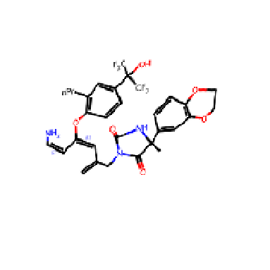 C=C(/C=C(\C=C/N)Oc1ccc(C(O)(C(F)(F)F)C(F)(F)F)cc1CCC)CN1C(=O)NC(C)(c2ccc3c(c2)OCCO3)C1=O